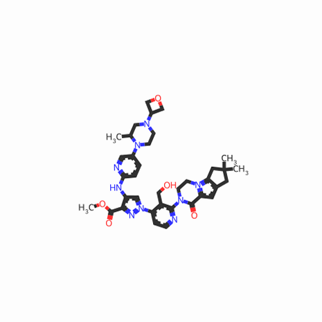 COC(=O)c1nn(-c2ccnc(N3CCn4c(cc5c4CC(C)(C)C5)C3=O)c2CO)cc1Nc1ccc(N2CCN(C3COC3)CC2C)cn1